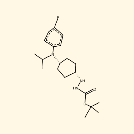 CC(C)N(c1ccc(F)cc1)[C@H]1CC[C@@H](NNC(=O)OC(C)(C)C)CC1